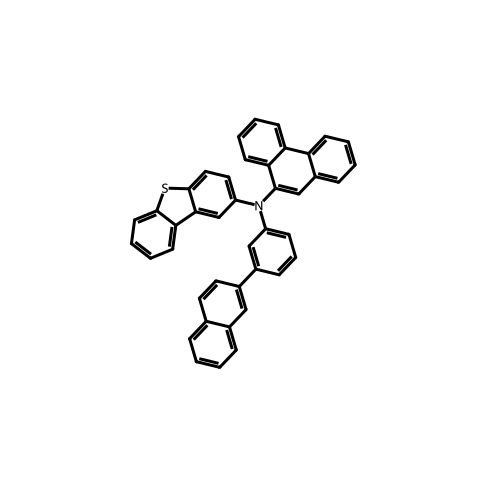 c1cc(-c2ccc3ccccc3c2)cc(N(c2ccc3sc4ccccc4c3c2)c2cc3ccccc3c3ccccc23)c1